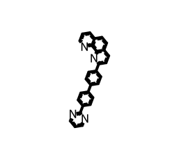 c1cnc(-c2ccc(-c3ccc(-c4ccc5ccc6cccnc6c5n4)cc3)cc2)nc1